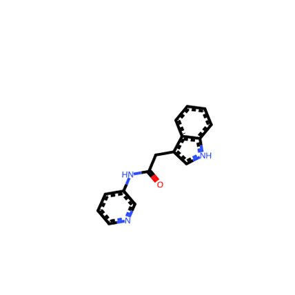 O=C(Cc1c[nH]c2ccccc12)Nc1cccnc1